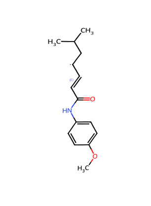 COc1ccc(NC(=O)/C=C/[CH]CC(C)C)cc1